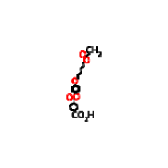 C=CC(=O)OCCCCCCOc1ccc(OC(=O)[C@H]2CC[C@H](C(=O)O)CC2)cc1